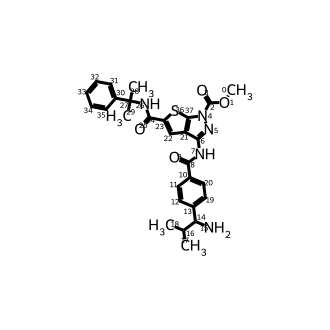 COC(=O)n1nc(NC(=O)c2ccc(C(N)C(C)C)cc2)c2cc(C(=O)NC(C)(C)c3ccccc3)sc21